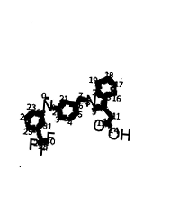 CN(c1cccc(Cn2cc(CC(=O)O)c3ccccc32)c1)c1cccc(C(F)(F)F)c1